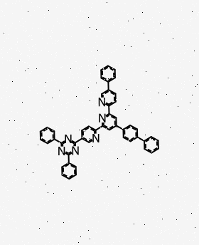 c1ccc(-c2ccc(-c3cc(-c4ccc(-c5ccccc5)cn4)nc(-c4ccc(-c5nc(-c6ccccc6)nc(-c6ccccc6)n5)cn4)c3)cc2)cc1